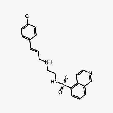 O=S(=O)(NCCNCC=Cc1ccc(Cl)cc1)c1cccc2cnccc12